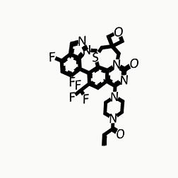 C=CC(=O)N1CCN(c2nc(=O)n3c4c(c(-c5c(F)cc(F)c6cnn(C)c56)c(C(F)(F)F)cc24)SCC2(COC2)C3)CC1